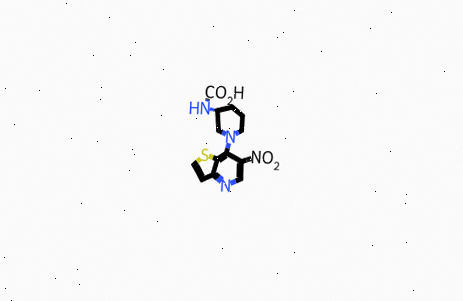 O=C(O)N[C@H]1CCCN(c2c([N+](=O)[O-])cnc3ccsc23)C1